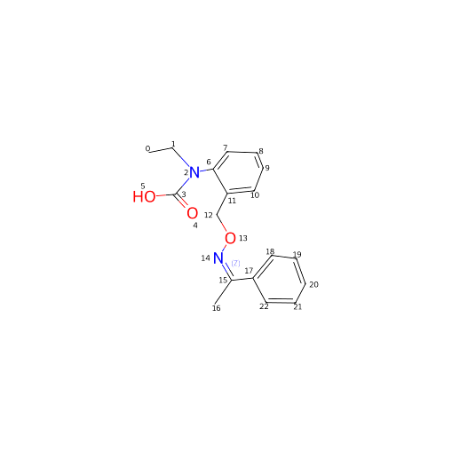 CCN(C(=O)O)c1ccccc1CO/N=C(/C)c1ccccc1